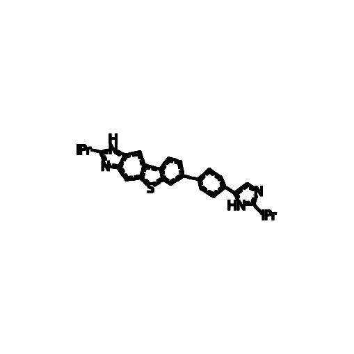 CC(C)c1ncc(-c2ccc(-c3ccc4c(c3)sc3cc5nc(C(C)C)[nH]c5cc34)cc2)[nH]1